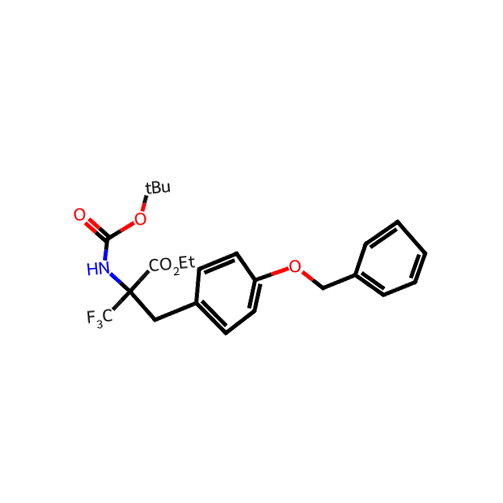 CCOC(=O)C(Cc1ccc(OCc2ccccc2)cc1)(NC(=O)OC(C)(C)C)C(F)(F)F